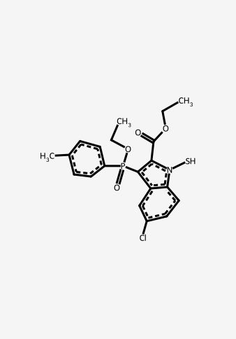 CCOC(=O)c1c(P(=O)(OCC)c2ccc(C)cc2)c2cc(Cl)ccc2n1S